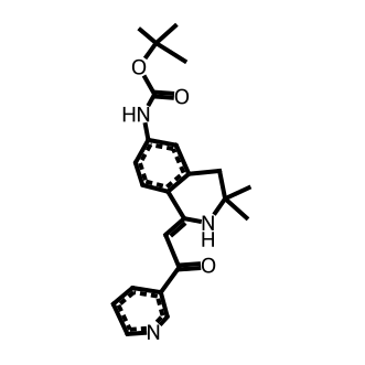 CC1(C)Cc2cc(NC(=O)OC(C)(C)C)ccc2/C(=C/C(=O)c2cccnc2)N1